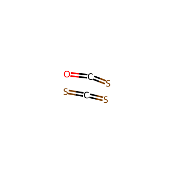 O=C=S.S=C=S